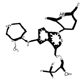 Cc1nn(C2CCC(=O)NC2=O)c2ccc(N[C@@H]3CCNC[C@H]3C)cc12.O=C(O)C(F)(F)F